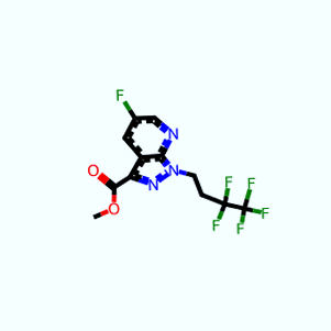 COC(=O)c1nn(CCC(F)(F)C(F)(F)F)c2ncc(F)cc12